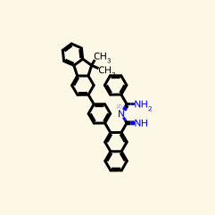 CC1(C)c2ccccc2C2=CC=C(c3ccc(-c4cc5ccccc5cc4C(=N)/N=C(\N)c4ccccc4)cc3)CC21